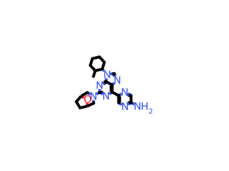 CC1CCCCC1n1cnc2c(-c3cnc(N)cn3)nc(N3CC4CCC(C3)O4)nc21